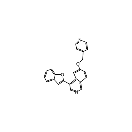 c1ccc2oc(-c3cncc4ccc(OCc5ccncc5)cc34)cc2c1